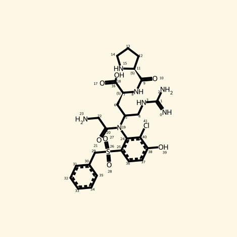 N=C(N)NCC(C[C@H](NC(=O)[C@@H]1CCCN1)C(=O)O)N(C(=O)CN)c1c(S(=O)(=O)Cc2ccccc2)ccc(O)c1Cl